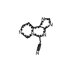 N#Cc1nc2ncnc-2c2ccncn12